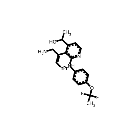 CCC/C=C(/CN)c1c(C(C)O)ccnc1Nc1ccc(OC(C)(F)F)cc1